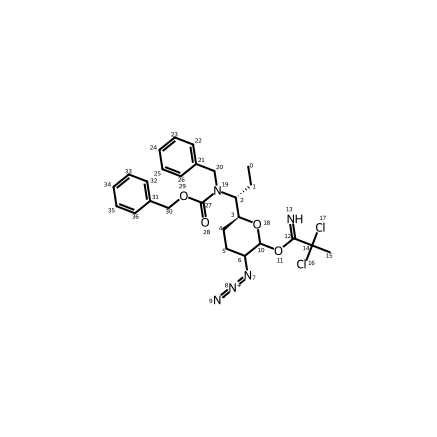 CC[C@H]([C@@H]1CCC(N=[N+]=[N-])C(OC(=N)C(C)(Cl)Cl)O1)N(Cc1ccccc1)C(=O)OCc1ccccc1